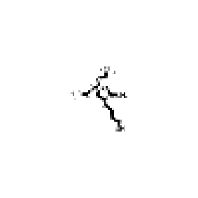 CCO[Si](CCCCCCS)(OCC)OCC